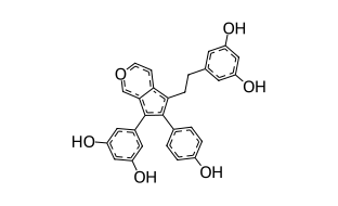 Oc1ccc(-c2c(CCc3cc(O)cc(O)c3)c3ccocc-3c2-c2cc(O)cc(O)c2)cc1